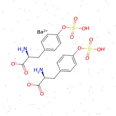 N[C@@H](Cc1ccc(OS(=O)(=O)O)cc1)C(=O)[O-].N[C@@H](Cc1ccc(OS(=O)(=O)O)cc1)C(=O)[O-].[Ba+2]